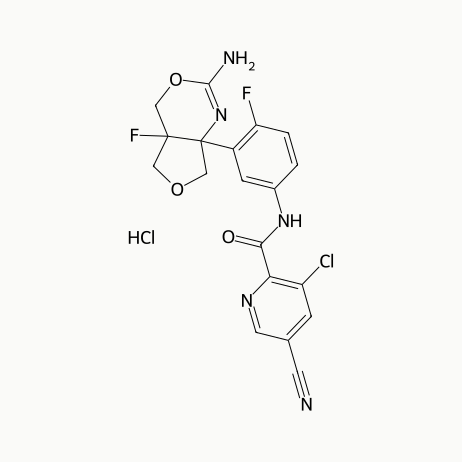 Cl.N#Cc1cnc(C(=O)Nc2ccc(F)c(C34COCC3(F)COC(N)=N4)c2)c(Cl)c1